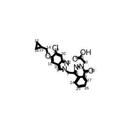 O=C(O)Cn1nc(Cn2cc3cc(OCC4CC4)c(Cl)cc3n2)c2ccccc2c1=O